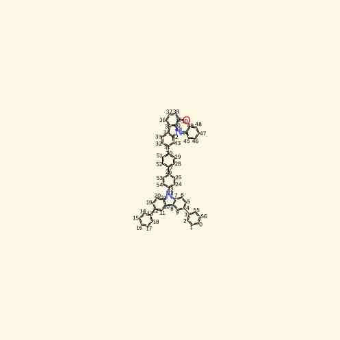 c1ccc(-c2ccc3c(c2)c2cc(-c4ccccc4)ccc2n3-c2ccc(-c3ccc(-c4ccc5c6cccc7c6n(c5c4)-c4ccccc4O7)cc3)cc2)cc1